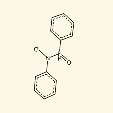 O=[PH](c1ccccc1)N(Cl)c1ccccc1